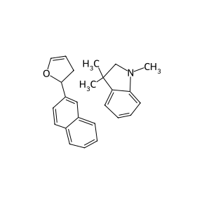 C1=COC(c2ccc3ccccc3c2)C1.CN1CC(C)(C)c2ccccc21